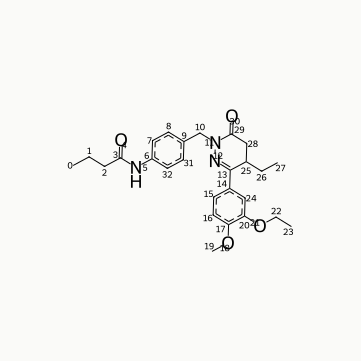 CCCC(=O)Nc1ccc(CN2N=C(c3ccc(OC)c(OCC)c3)C(CC)CC2=O)cc1